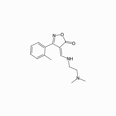 Cc1ccccc1C1=NOC(=O)C1=CNCCN(C)C